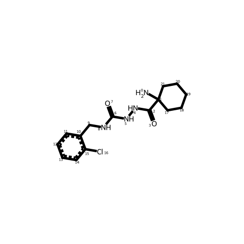 NC1(C(=O)NNC(=O)NCc2ccccc2Cl)CCCCC1